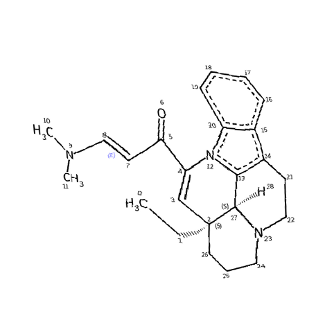 CC[C@@]12C=C(C(=O)/C=C/N(C)C)n3c4c(c5ccccc53)CCN(CCC1)[C@H]42